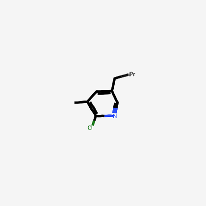 Cc1cc(CC(C)C)cnc1Cl